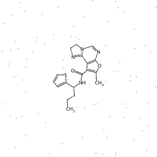 CCCC(NC(=O)c1c(C)oc2c1C1=NCCN1C=N2)c1cccs1